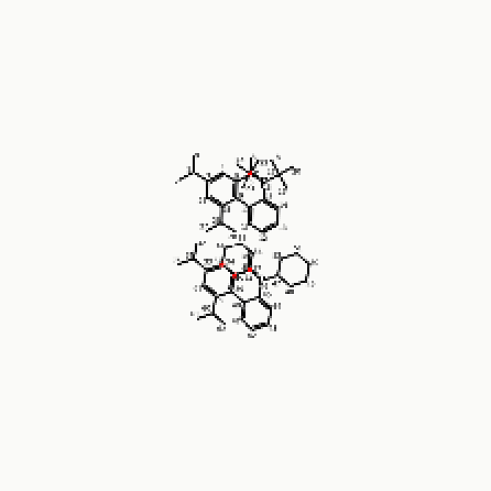 CC(C)c1cc(C(C)C)c(-c2ccccc2P(C(C)(C)C)C(C)(C)C)c(C(C)C)c1.CC(C)c1cc(C(C)C)c(-c2ccccc2P(C2CCCCC2)C2CCCCC2)c(C(C)C)c1